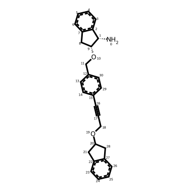 N[C@H]1c2ccccc2C[C@H]1OCc1ccc(C#CCOC2Cc3ccccc3C2)cc1